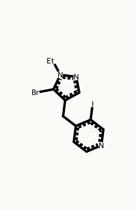 CCn1ncc(Cc2ccncc2I)c1Br